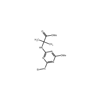 CCSc1nc(NC(C)(C)C(=O)OC)nc(OC)n1